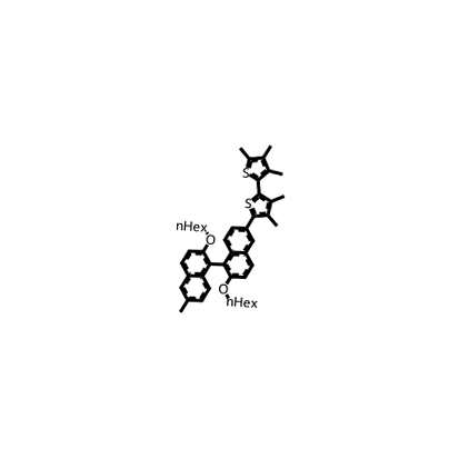 CCCCCCOc1ccc2cc(C)ccc2c1-c1c(OCCCCCC)ccc2cc(-c3sc(-c4sc(C)c(C)c4C)c(C)c3C)ccc12